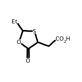 CCC1OC(=O)C(CC(=O)O)S1